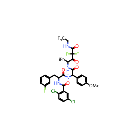 COc1ccc(C(NC(=O)C(Cc2cccc(F)c2)NC(=O)c2cc(Cl)ccc2Cl)C(=O)NC(C(=O)C(F)(F)C(=O)NCC(F)(F)F)C(C)C)cc1